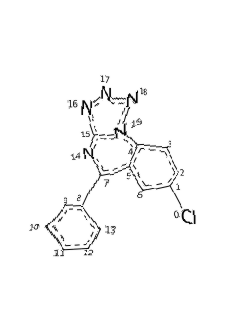 Clc1ccc2c(c1)c(-c1ccccc1)nc1nnnn12